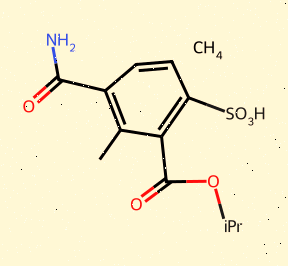 C.Cc1c(C(N)=O)ccc(S(=O)(=O)O)c1C(=O)OC(C)C